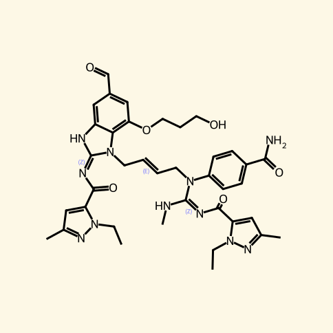 CCn1nc(C)cc1C(=O)/N=C(/NC)N(C/C=C/Cn1/c(=N\C(=O)c2cc(C)nn2CC)[nH]c2cc(C=O)cc(OCCCO)c21)c1ccc(C(N)=O)cc1